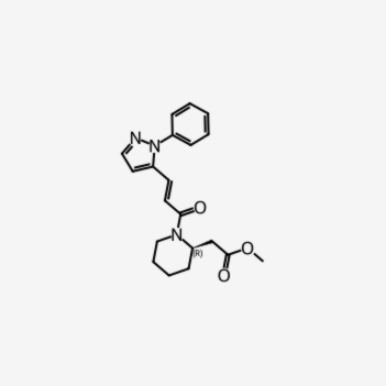 COC(=O)C[C@H]1CCCCN1C(=O)C=Cc1ccnn1-c1ccccc1